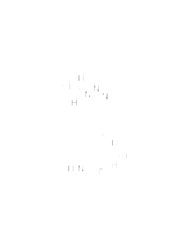 [2H]C([2H])([2H])c1c(Oc2ccc3c(c2)nnn3C([2H])([2H])[2H])ccc(N)c1F